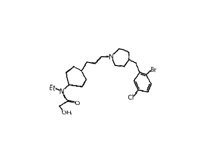 CCN(C(=O)CO)C1CCC(CCCN2CCC(Cc3cc(Cl)ccc3Br)CC2)CC1